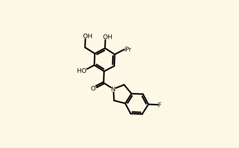 CC(C)c1cc(C(=O)N2Cc3ccc(F)cc3C2)c(O)c(CO)c1O